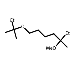 CCC(C)(C)OCCCCC(C)(CC)OC